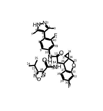 Cc1n[nH]c(C)c1-c1ccc(NC(=O)[C@@H](NC(=O)c2nonc2C(C)C)C2c3ccc(F)cc3OCC23CC3)cc1F